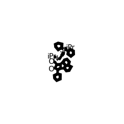 CC(C)N(CC#C[Si](c1ccccc1)(c1ccccc1)C(C)C)C(=O)C1=C2C(=C(c3ccccc3)C1=O)c1cccc3cccc2c13